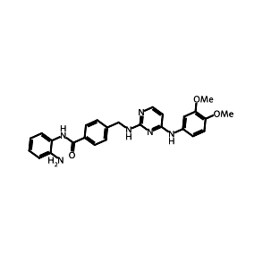 COc1ccc(Nc2ccnc(NCc3ccc(C(=O)Nc4ccccc4N)cc3)n2)cc1OC